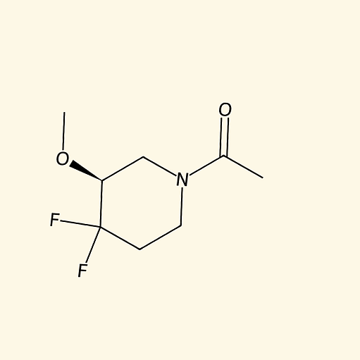 CO[C@H]1CN(C(C)=O)CCC1(F)F